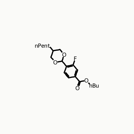 CCCCCC1COC(c2ccc(C(=O)OCCCC)cc2F)OC1